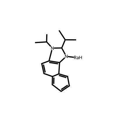 CC(C)C1[N]([RaH])c2c(ccc3ccccc23)N1C(C)C